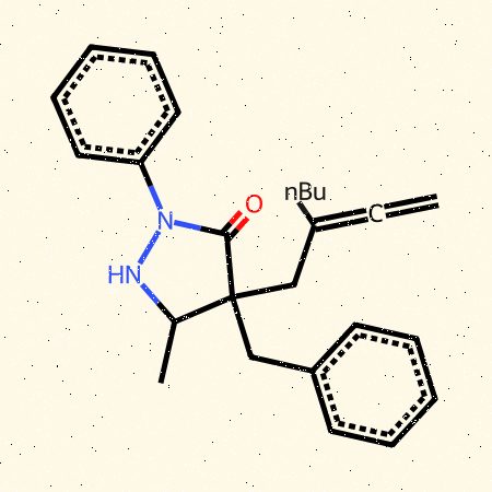 C=C=C(CCCC)CC1(Cc2ccccc2)C(=O)N(c2ccccc2)NC1C